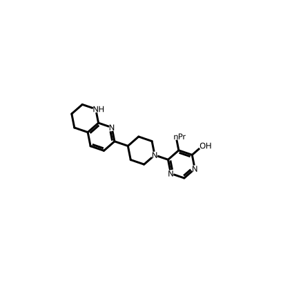 CCCc1c(O)ncnc1N1CCC(c2ccc3c(n2)NCCC3)CC1